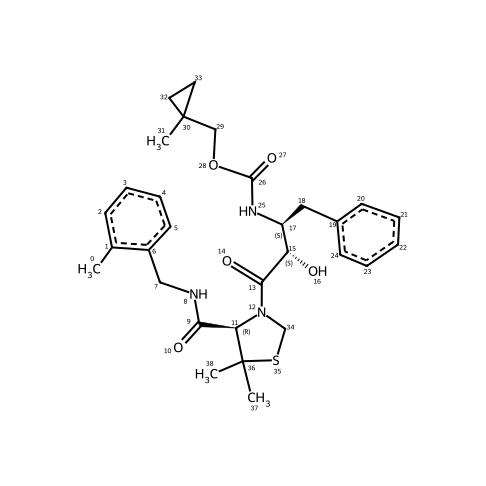 Cc1ccccc1CNC(=O)[C@H]1N(C(=O)[C@@H](O)[C@H](Cc2ccccc2)NC(=O)OCC2(C)CC2)CSC1(C)C